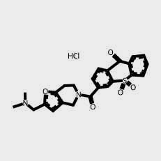 CN(C)Cc1cc2c(o1)CCN(C(=O)c1ccc3c(c1)S(=O)(=O)c1ccccc1C3=O)C2.Cl